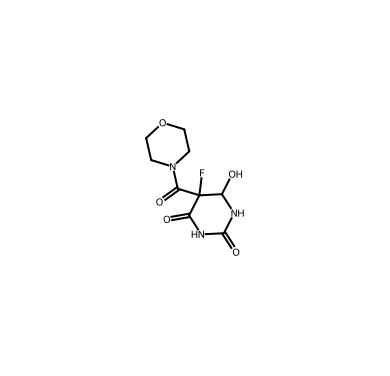 O=C1NC(=O)C(F)(C(=O)N2CCOCC2)C(O)N1